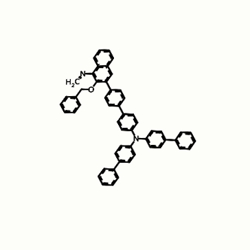 C=Nc1c(OCc2ccccc2)c(-c2ccc(-c3ccc(N(c4ccc(-c5ccccc5)cc4)c4ccc(-c5ccccc5)cc4)cc3)cc2)cc2ccccc12